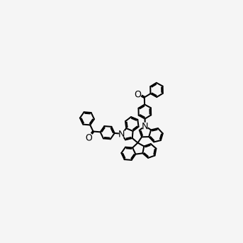 O=C(c1ccccc1)c1ccc(-n2cc(C3(c4cn(-c5ccc(C(=O)c6ccccc6)cc5)c5ccccc45)c4ccccc4-c4ccccc43)c3ccccc32)cc1